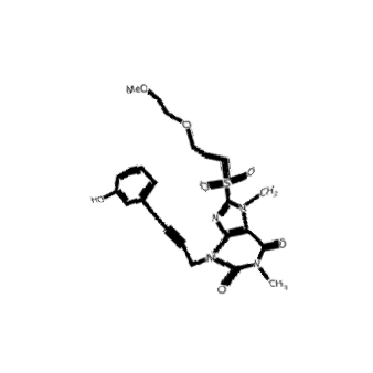 COCCOCCS(=O)(=O)c1nc2c(c(=O)n(C)c(=O)n2CC#Cc2cccc(O)c2)n1C